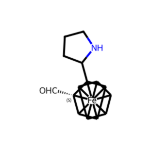 O=C[C@]12[CH]3[CH]4[CH]5[C]1(C1CCCN1)[Fe]45321678[CH]2[CH]1[CH]6[CH]7[CH]28